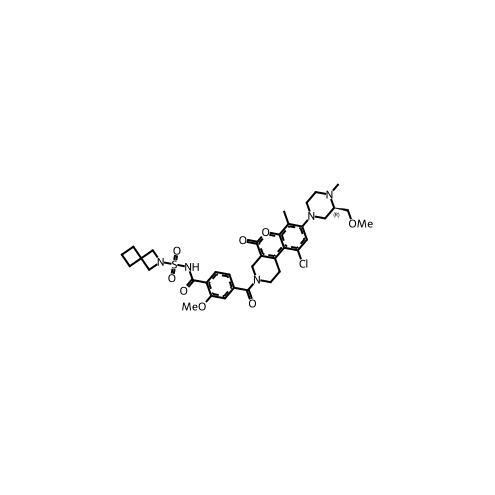 COC[C@H]1CN(c2cc(Cl)c3c4c(c(=O)oc3c2C)CN(C(=O)c2ccc(C(=O)NS(=O)(=O)N3CC5(CCC5)C3)c(OC)c2)CC4)CCN1C